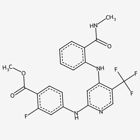 CNC(=O)c1ccccc1Nc1cc(Nc2ccc(C(=O)OC)c(F)c2)ncc1C(F)(F)F